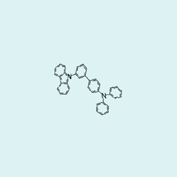 c1ccc(N(c2ccccc2)c2ccc(-c3cccc(-n4c5ccccc5c5ccccc54)c3)cc2)cc1